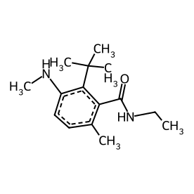 CCNC(=O)c1c(C)ccc(NC)c1C(C)(C)C